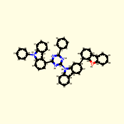 c1ccc(-c2nc(-c3cccc4c3c3ccccc3n4-c3ccccc3)nc(-n3c4ccccc4c4ccc(-c5cccc6c5oc5ccccc56)cc43)n2)cc1